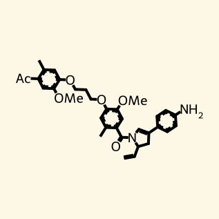 C=CC1CC(c2ccc(N)cc2)=CN1C(=O)c1cc(OC)c(OCCCOc2cc(C)c(C(C)=O)cc2OC)cc1C